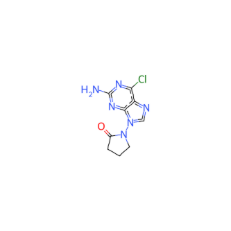 Nc1nc(Cl)c2ncn(N3CCCC3=O)c2n1